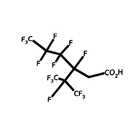 O=C(O)CC(F)(C(F)(F)C(F)(F)C(F)(F)F)C(F)(C(F)(F)F)C(F)(F)F